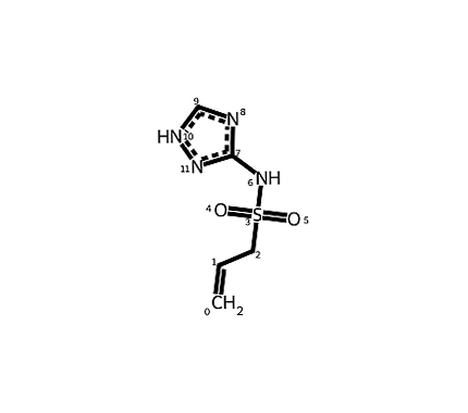 C=CCS(=O)(=O)Nc1nc[nH]n1